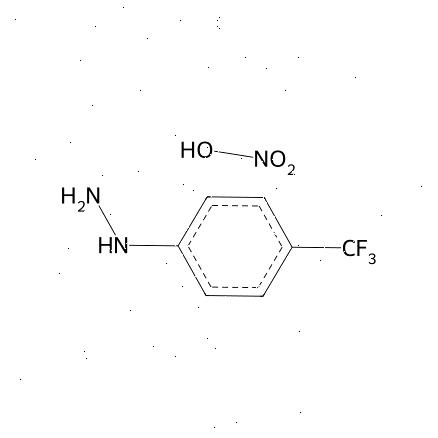 NNc1ccc(C(F)(F)F)cc1.O=[N+]([O-])O